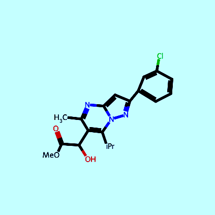 COC(=O)C(O)c1c(C)nc2cc(-c3cccc(Cl)c3)nn2c1C(C)C